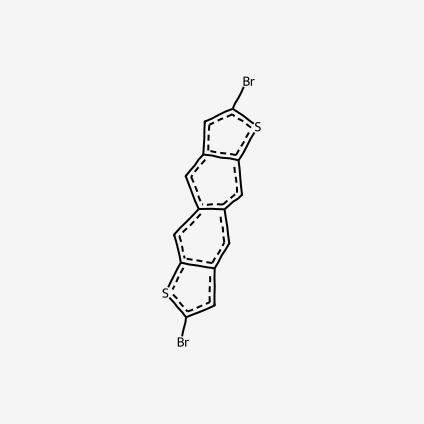 Brc1cc2cc3cc4sc(Br)cc4cc3cc2s1